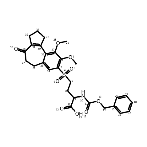 COc1c(S(=O)(=O)CCC(NC(=O)OCc2ccccc2)C(=O)O)cc2c(c1OC)C1=C(CCC1)C(=O)CC2